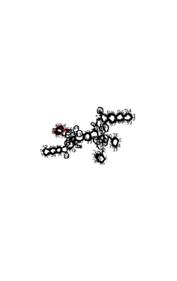 O=C1C(=Cc2nc3c(s2)-c2cc4c(cc2OC3(C(=O)OCc2ccccc2)C(=O)OCc2ccccc2)-c2sc(C=C3C(=O)c5cc6cc7ccccc7cc6cc5C3=O)nc2C(C(=O)OCc2ccccc2)(C(=O)OCc2ccccc2)O4)C(=O)c2cc3cc4ccccc4cc3cc21